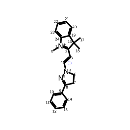 C[N+]1=C(/C=C/N2CCC(c3ccccc3)=N2)C(C)(C)c2ccccc21